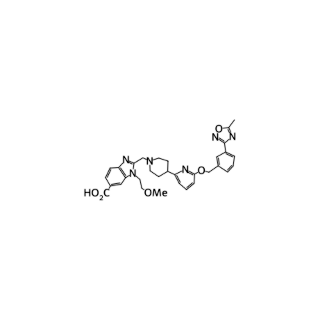 COCCn1c(CN2CCC(c3cccc(OCc4cccc(-c5noc(C)n5)c4)n3)CC2)nc2ccc(C(=O)O)cc21